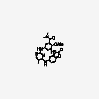 COc1ccc(Nc2ncc(C)c(Nc3ccc4oc(=O)[nH]c4c3)n2)cc1C(=O)N(C)C